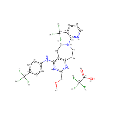 COCc1nc2c(c(Nc3ccc(C(F)(F)F)cc3)n1)CCN(c1ncccc1C(F)(F)F)CC2.O=C(O)C(F)(F)F